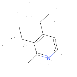 CCc1ccnc(C)c1CC